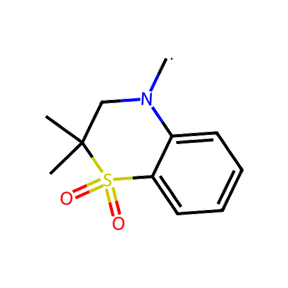 [CH2]N1CC(C)(C)S(=O)(=O)c2ccccc21